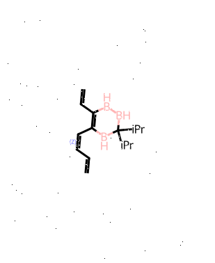 C=C/C=C\C1=C(C=C)BBC(C(C)C)(C(C)C)B1